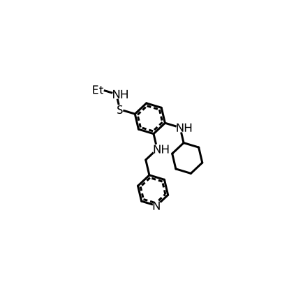 CCNSc1ccc(NC2CCCCC2)c(NCc2ccncc2)c1